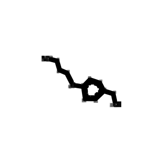 N#CCCCOc1ccc(CC#N)cc1